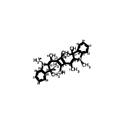 C/C(C1=C(O)C(/C(C)=C2/N(C)c3ccccc3C2(C)C)=C1O)=C1\N(C)c2ccccc2C1(C)C